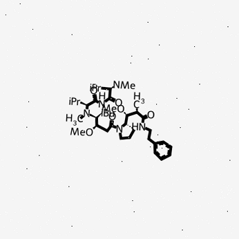 CC[C@H](C)[C@@H]([C@@H](CC(=O)N1CCC[C@H]1[C@H](OC)[C@@H](C)C(=O)NCCc1ccccc1)OC)N(C)[C@H](C(=O)NC(=O)[C@@H](NC)C(C)C)C(C)C